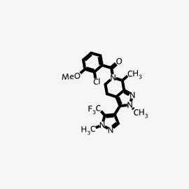 COc1cccc(C(=O)N2CCc3c(nn(C)c3-c3cnn(C)c3C(F)(F)F)C2C)c1Cl